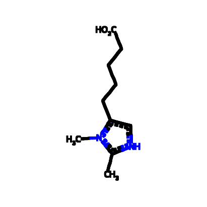 Cc1[nH]cc(CCCCC(=O)O)[n+]1C